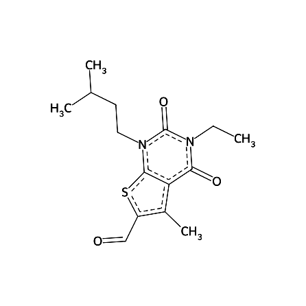 CCn1c(=O)c2c(C)c(C=O)sc2n(CCC(C)C)c1=O